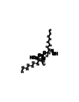 CCCCCCCC(=NO)C(C)O[PH](=O)OC(C)C(CCCCCCC)=NO